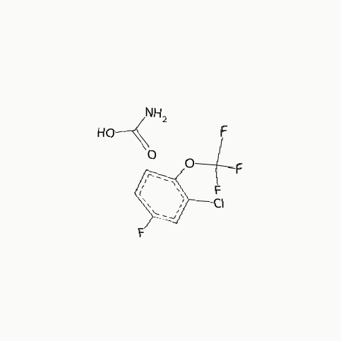 Fc1ccc(OC(F)(F)F)c(Cl)c1.NC(=O)O